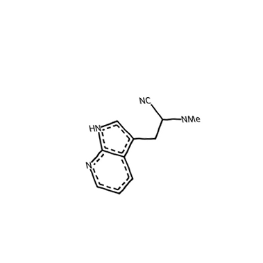 CNC(C#N)Cc1c[nH]c2ncccc12